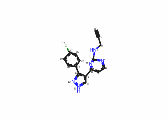 C#CCNc1nccc(-c2c[nH]nc2-c2ccc(F)cc2)n1